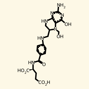 Nc1nc(O)c2c(n1)NCC(CNc1ccc(C(=O)N[C@@H](CCC(=O)O)C(=O)O)cc1)N2CO